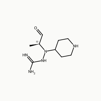 C[C@@H](C=O)N(NC(=N)N)C1CCNCC1